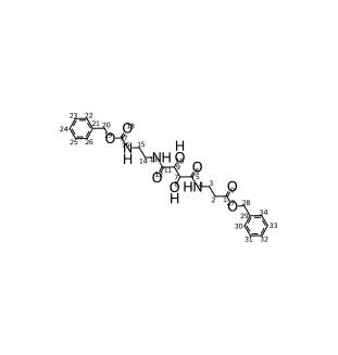 O=C(CCNC(=O)C(O)C(O)C(=O)NCCNC(=O)OCc1ccccc1)OCc1ccccc1